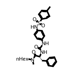 CCCCCCN(C)C(=O)[C@@H](Cc1ccccc1)NC(=O)Nc1ccc(NS(=O)(=O)c2ccc(C)cc2)cc1